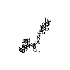 C#Cc1c(F)ccc2cccc(-c3ncc4c(N5C[C@H]6CC[C@@H](C5)N6)nc(OC[C@@]56CC[C@@H](COC(=O)N7CCC8(CCC(C(=O)Nc9ccc%10c(c9)C(=O)N(C9CCC(=O)NC9=O)C%10=O)CC8)CC7)N5CC(=C)C6)nc4c3F)c12